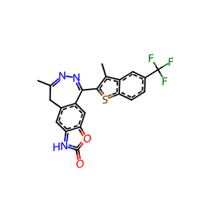 CC1=NN=C(c2sc3ccc(C(F)(F)F)cc3c2C)c2cc3oc(=O)[nH]c3cc2C1